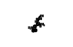 C#CCNC(=O)CNC(=O)CN(CCC(C)=O)C1CCN(C(C)c2cccc3ccccc23)CC1